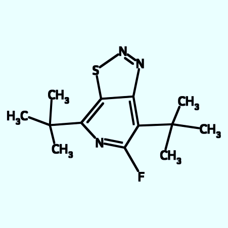 CC(C)(C)c1c(F)nc(C(C)(C)C)c2snnc12